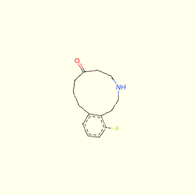 O=C1CCCc2cccc(F)c2CCNCC1